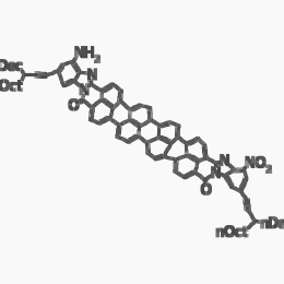 CCCCCCCCCCC(C#Cc1cc(N)c2nc3c4ccc5c6ccc7c8ccc9c%10ccc%11c%12c(ccc(c%13ccc(c%14ccc(c%15ccc(c(=O)n3c2c1)c4c%155)c6c%147)c8c%139)c%10%12)c(=O)n1c2cc(C#CC(CCCCCCCC)CCCCCCCCCC)cc([N+](=O)[O-])c2nc%111)CCCCCCCC